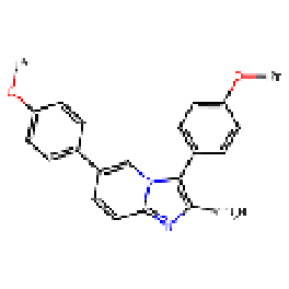 CC(C)Oc1ccc(-c2ccc3nc(C(=O)O)c(-c4ccc(OC(C)C)cc4)n3c2)cc1